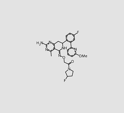 COc1cccc(-c2cc(F)ccc2C2Cc3nc(N)nc(C)c3C(=NOCC(=O)N3CCC(F)C3)N2)n1